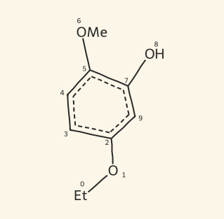 CCOc1ccc(OC)c(O)c1